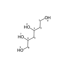 OCCC(O)CC(O)CO